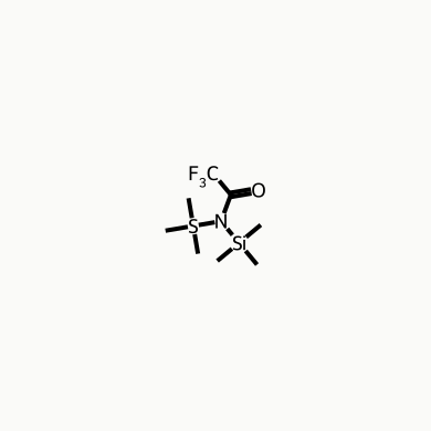 C[Si](C)(C)N(C(=O)C(F)(F)F)S(C)(C)C